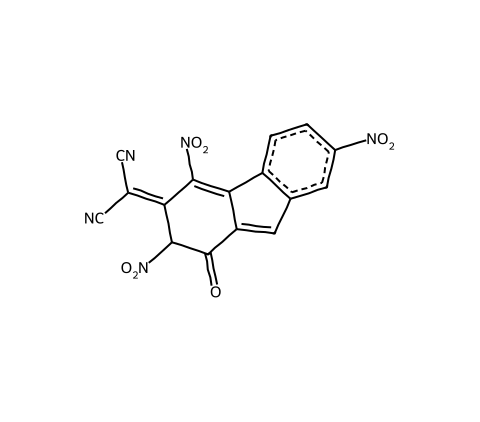 N#CC(C#N)=C1C([N+](=O)[O-])=C2C(=Cc3cc([N+](=O)[O-])ccc32)C(=O)C1[N+](=O)[O-]